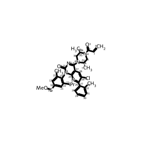 C=CC(=O)N1C[C@H](C)N(c2nc(=O)n(-c3c(C)cc(SOC)cc3C(C)C)c3nc(-c4ccccc4C)c(Cl)cc23)C[C@H]1C